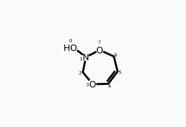 ON1COC=CCO1